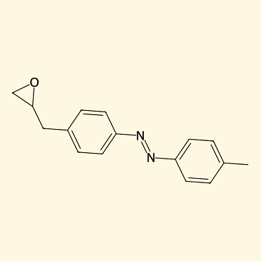 Cc1ccc(N=Nc2ccc(CC3CO3)cc2)cc1